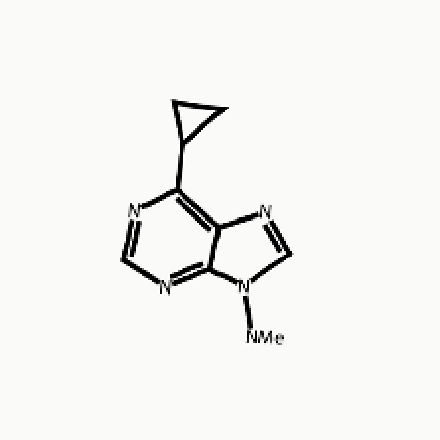 CNn1cnc2c(C3CC3)ncnc21